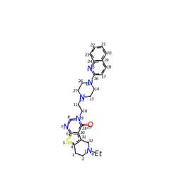 CCN1CCc2sc3ncn(CCN4CCN(c5ccc6ccccc6n5)CC4)c(=O)c3c2C1